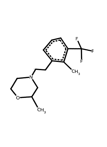 Cc1c(C[CH]N2CCOC(C)C2)cccc1C(F)(F)F